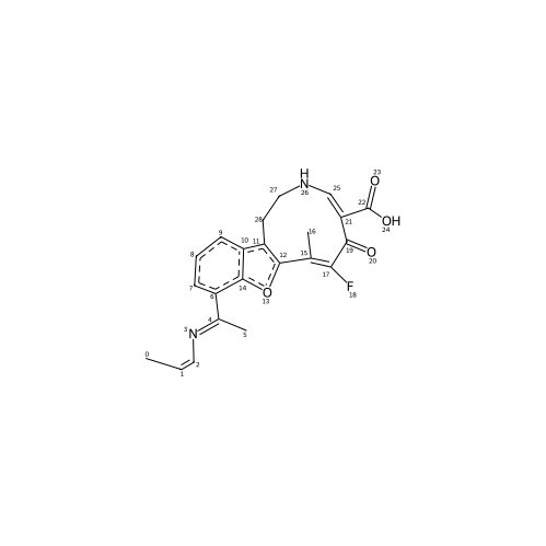 C/C=C\N=C(/C)c1cccc2c3c(oc12)/C(C)=C(\F)C(=O)/C(C(=O)O)=C\NCC3